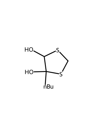 CCCCC1(O)SCSC1O